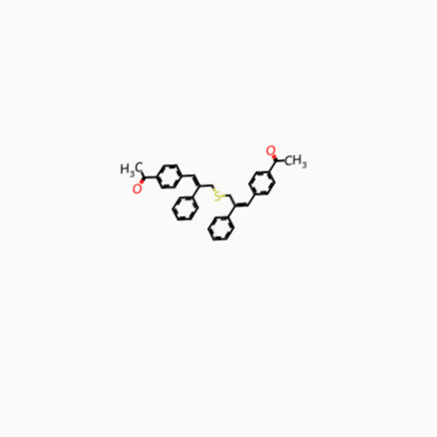 CC(=O)c1ccc(C=C(CSCC(=Cc2ccc(C(C)=O)cc2)c2ccccc2)c2ccccc2)cc1